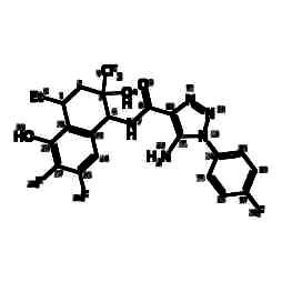 CCC1CC(O)(C(F)(F)F)C(NC(=O)c2nnn(-c3ccc(F)cc3)c2N)c2cc(F)c(F)c(O)c21